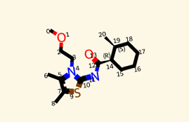 COCCn1c(C)c(C)sc1=NC(=O)[C@@H]1CCCC[C@@H]1C